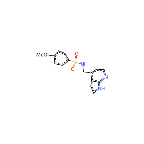 COc1ccc(S(=O)(=O)NCc2ccnc3[nH]ccc23)cc1